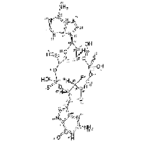 C#C[C@@]12COP(O)(=S)O[C@@H]3[C@H](F)[C@@H](COP(O)(=S)O[C@H]1[C@@H](O)[C@H](n1cnc4c(N)ncnc41)O2)O[C@H]3n1cnc2c(=O)[nH]c(N)nc21